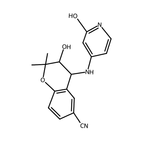 CC1(C)Oc2ccc(C#N)cc2C(Nc2ccnc(O)c2)C1O